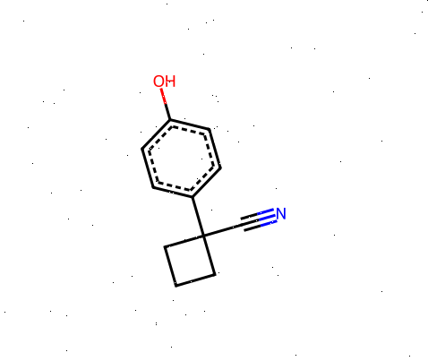 N#CC1(c2ccc(O)cc2)CCC1